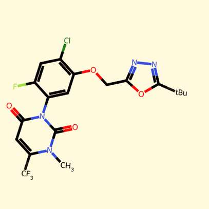 Cn1c(C(F)(F)F)cc(=O)n(-c2cc(OCc3nnc(C(C)(C)C)o3)c(Cl)cc2F)c1=O